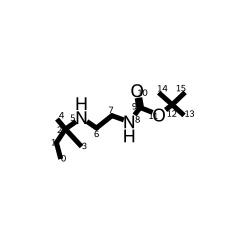 CCC(C)(C)NCCNC(=O)OC(C)(C)C